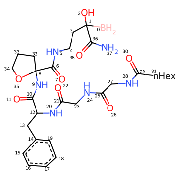 BC(O)(CCNC(=O)C1(NC(=O)C(Cc2ccccc2)NC(=O)CNC(=O)CNC(=O)CCCCCC)CCCO1)C(N)=O